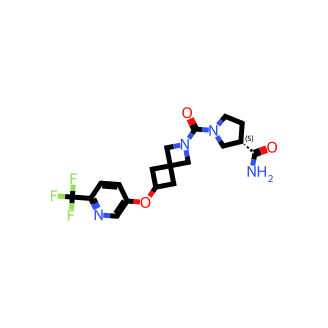 NC(=O)[C@H]1CCN(C(=O)N2CC3(CC(Oc4ccc(C(F)(F)F)nc4)C3)C2)C1